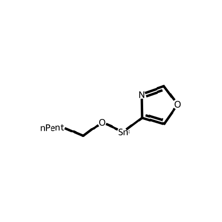 CCCCCC[O][Sn][c]1cocn1